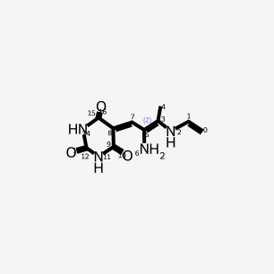 C=CN/C(C)=C(\N)C=C1C(=O)NC(=O)NC1=O